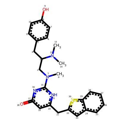 CN(CC(Cc1ccc(O)cc1)N(C)C)c1nc(=O)cc(Cc2cc3ccccc3s2)[nH]1